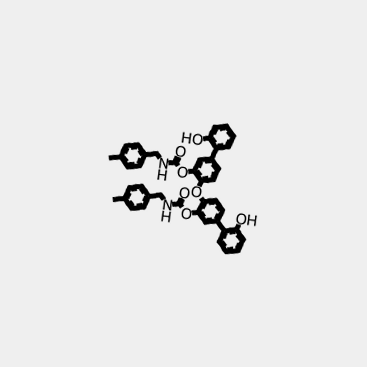 Cc1ccc(CNC(=O)Oc2cc(-c3ccccc3O)ccc2Oc2ccc(-c3ccccc3O)cc2OC(=O)NCc2ccc(C)cc2)cc1